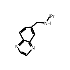 CC(C)NCc1ccc2nccnc2c1